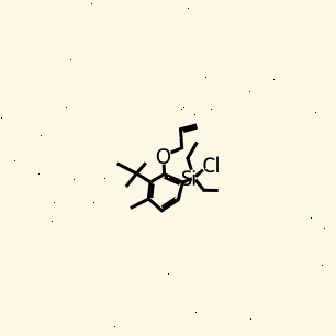 C=CCOc1c([Si](Cl)(CC)CC)ccc(C)c1C(C)(C)C